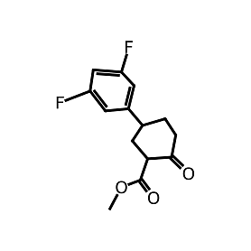 COC(=O)C1CC(c2cc(F)cc(F)c2)CCC1=O